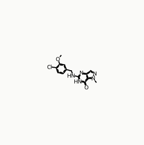 COc1cc(CNc2nc3cnn(C)c3c(=O)[nH]2)ccc1Cl